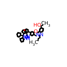 CCCCc1nc2ccc(C(O)CC)cc2c(=O)n1Cc1ccc(-c2ccccc2-c2nnnn2C(c2ccccc2)(c2ccccc2)c2ccccc2)cc1